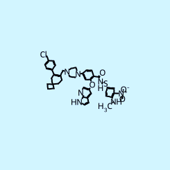 CNc1ccc(SNC(=O)c2ccc(N3CCN(CC4=C(c5ccc(Cl)cc5)CC5(CCC5)CC4)CC3)cc2Oc2cnc3[nH]ccc3c2)cc1[N+](=O)[O-]